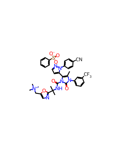 Cc1c(-c2ccnn2-c2ccc(C#N)cc2)n(C(=O)NC(C)(C)c2ncc(C[N+](C)(C)C)o2)c(=O)n1-c1cccc(C(F)(F)F)c1.O=S(=O)([O-])c1ccccc1